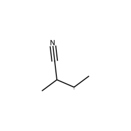 C[CH]C(C)C#N